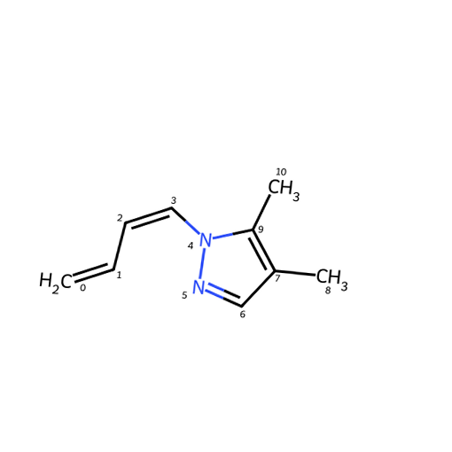 C=C/C=C\n1ncc(C)c1C